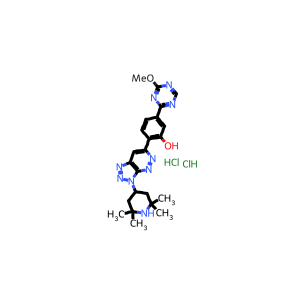 COc1ncnc(-c2ccc(-c3cc4nnn(C5CC(C)(C)NC(C)(C)C5)c4nn3)c(O)c2)n1.Cl.Cl